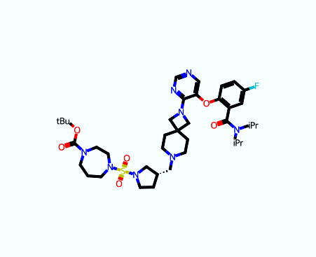 CC(C)N(C(=O)c1cc(F)ccc1Oc1cncnc1N1CC2(CCN(C[C@@H]3CCN(S(=O)(=O)N4CCCN(C(=O)OC(C)(C)C)CC4)C3)CC2)C1)C(C)C